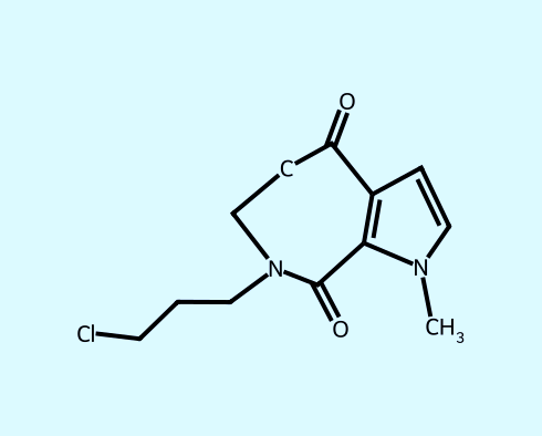 Cn1ccc2c1C(=O)N(CCCCl)CCC2=O